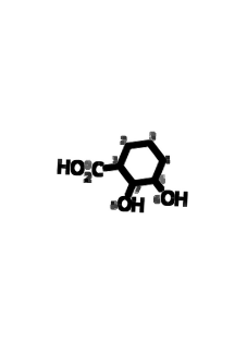 O=C(O)C1CCCC(O)C1O